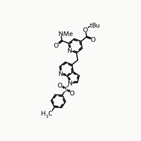 CNC(=O)c1cc(C(=O)OC(C)(C)C)cc(Cc2ccnc3c2ccn3S(=O)(=O)c2ccc(C)cc2)n1